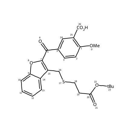 COc1ccc(C(=O)c2oc3ccccc3c2CSCCC(=O)OC(C)(C)C)cc1C(=O)O